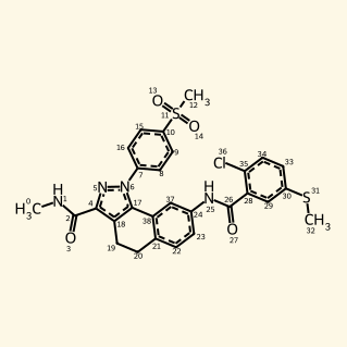 CNC(=O)c1nn(-c2ccc(S(C)(=O)=O)cc2)c2c1CCc1ccc(NC(=O)c3cc(SC)ccc3Cl)cc1-2